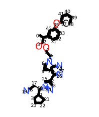 CC(C(=O)OCCn1ccc2c(-c3cnn([C@H](CC#N)C4CCCC4)c3)ncnc21)c1cccc(Oc2ccccc2)c1